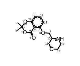 CC1(C)OC(=O)c2c(OCC3COCCN3)cccc2O1